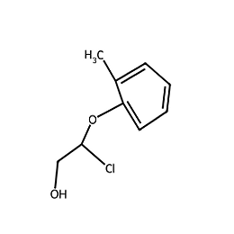 Cc1ccccc1OC(Cl)CO